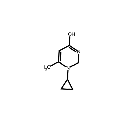 CC1=CC(O)=NCN1C1CC1